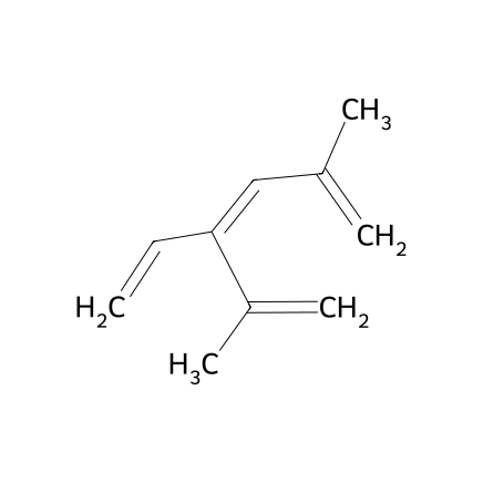 C=C/C(=C/C(=C)C)C(=C)C